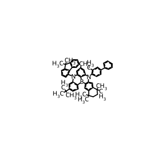 Cc1cc2c3c(c1)N(c1cccc4c1-c1ccccc1C4(C)C)c1cc(C(C)(C)C)ccc1B3c1cc3c(cc1N2c1ccc(-c2ccccc2)cc1C)C(C)(C)CCC3(C)C